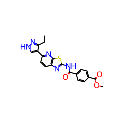 CCc1n[nH]cc1-c1ccc2nc(NC(=O)c3ccc(C(=O)OC)cc3)sc2n1